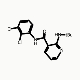 CC(C)(C)Nc1ncccc1C(=O)Nc1cccc(Cl)c1Cl